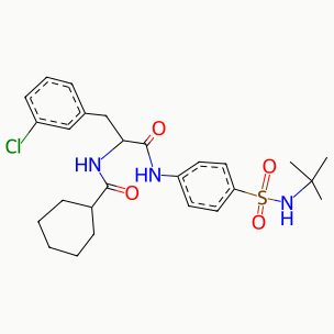 CC(C)(C)NS(=O)(=O)c1ccc(NC(=O)C(Cc2cccc(Cl)c2)NC(=O)C2CCCCC2)cc1